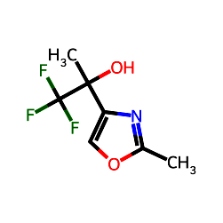 Cc1nc(C(C)(O)C(F)(F)F)co1